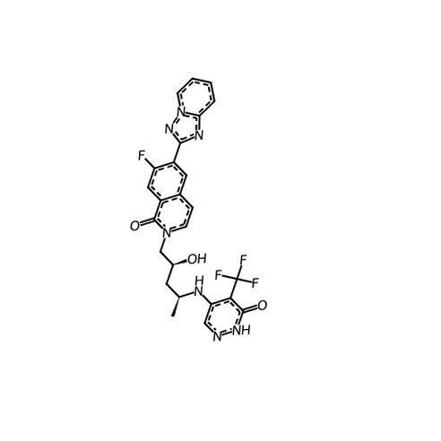 C[C@@H](C[C@H](O)Cn1ccc2cc(-c3nc4ccccn4n3)c(F)cc2c1=O)Nc1cn[nH]c(=O)c1C(F)(F)F